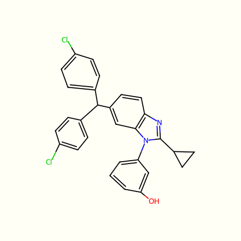 Oc1cccc(-n2c(C3CC3)nc3ccc(C(c4ccc(Cl)cc4)c4ccc(Cl)cc4)cc32)c1